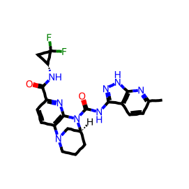 Cc1ccc2c(NC(=O)N3c4nc(C(=O)N[C@@H]5CC5(F)F)ccc4N4CCC[C@H]3C4)n[nH]c2n1